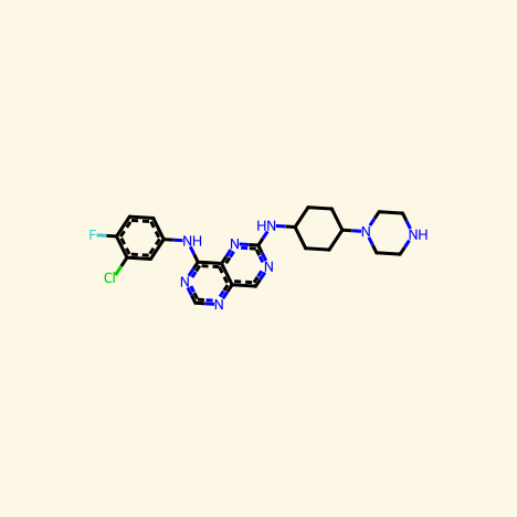 Fc1ccc(Nc2ncnc3cnc(NC4CCC(N5CCNCC5)CC4)nc23)cc1Cl